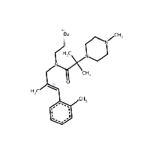 CC[C@@H](C)CCN(C/C(C)=C/c1ccccc1C)C(=O)C(C)(C)N1CCN(C)CC1